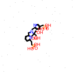 O=P(O)(O)CCc1cccc(CN(Cc2ccc(CP(=O)(O)O)cn2)C(CO)(CO)CO)n1